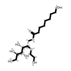 CCCCCCCCCCCCCCCCCC(=O)OC[C@H](OCCO)[C@@H](O)[C@H](O)[C@H](O)CO